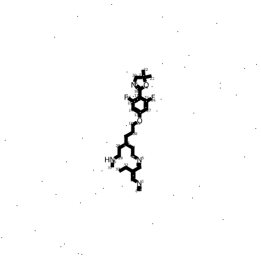 C=N/C=C(\C=N/CCC(CCCOc1cc(F)c(C2=NCC(C)(C)O2)c(F)c1)CCNC)CC